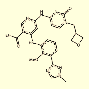 CCC(=O)c1cnc(Nc2ccn(CC3COC3)c(=O)n2)cc1Nc1cccc(-c2ncn(C)n2)c1OC